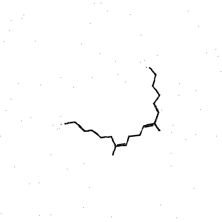 [CH2]CCCCCC(C)=CCCC=C(C)CCCCC[CH2]